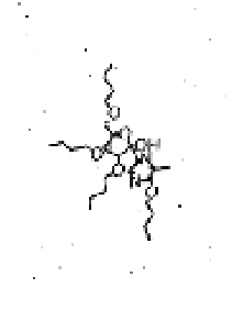 CCCCOC[C@H]1OC(O)(c2cnc(OCCCC)c(C)n2)C(OCCCC)[C@H]1OCCCC